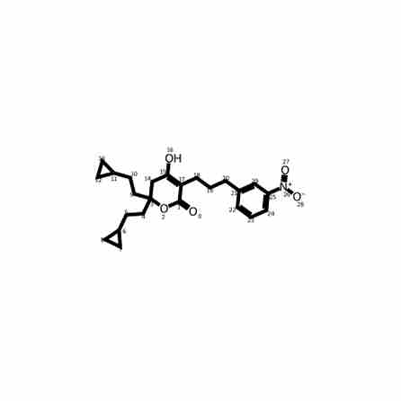 O=C1OC(CCC2CC2)(CCC2CC2)CC(O)=C1CCCc1cccc([N+](=O)[O-])c1